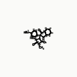 CCCCc1ccc(C2(C3C(=O)N(C)C(=O)C3O)Nc3ccccc3C2=O)cc1